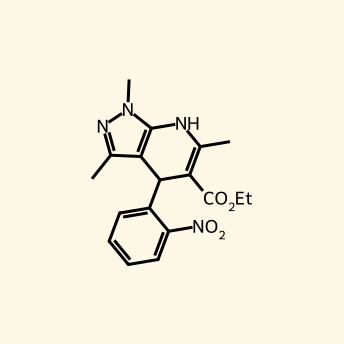 CCOC(=O)C1=C(C)Nc2c(c(C)nn2C)C1c1ccccc1[N+](=O)[O-]